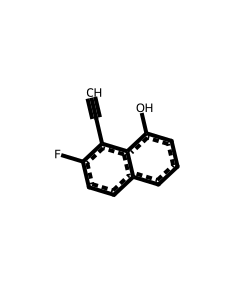 C#Cc1c(F)ccc2cccc(O)c12